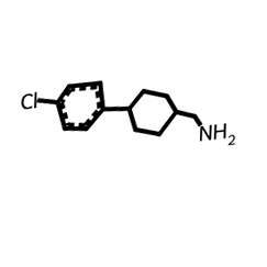 NCC1CCC(c2ccc(Cl)cc2)CC1